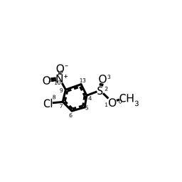 COS(=O)c1ccc(Cl)c([N+](=O)[O-])c1